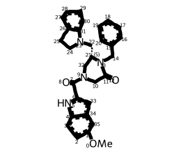 COc1ccc2[nH]c(C(=O)N3CC(=O)N(Cc4ccccc4)[C@@H](CN4CCc5ccccc54)C3)cc2c1